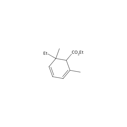 CCOC(=O)C1C(C)=CC=CC1(C)CC